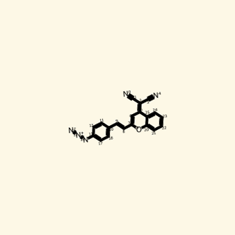 N#CC(C#N)=C1C=C(C=Cc2ccc(N=[N+]=[N-])cc2)Oc2ccccc21